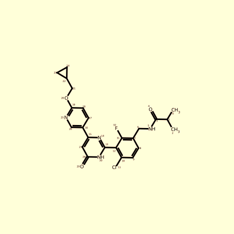 CC(C)C(=O)NCc1ccc(Cl)c(-c2nc(-c3ccc(OCC4CC4)nc3)cc(=O)[nH]2)c1F